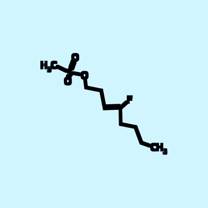 CCCCC(F)=CCCOS(C)(=O)=O